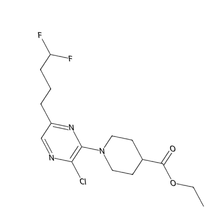 CCOC(=O)C1CCN(c2nc(CCCC(F)F)cnc2Cl)CC1